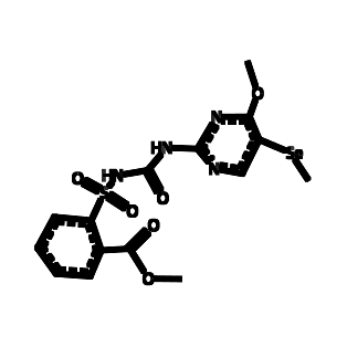 COC(=O)c1ccccc1S(=O)(=O)NC(=O)Nc1ncc([Se]C)c(OC)n1